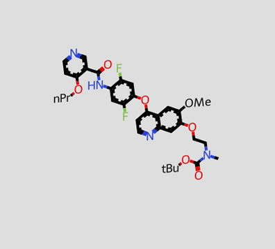 CCCOc1ccncc1C(=O)Nc1cc(F)c(Oc2ccnc3cc(OCCN(C)C(=O)OC(C)(C)C)c(OC)cc23)cc1F